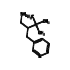 C[Si](C)(C)C(CN)Cc1cccnc1